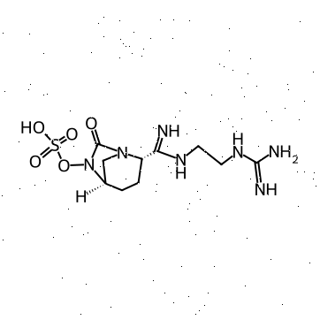 N=C(N)NCCNC(=N)[C@@H]1CC[C@@H]2CN1C(=O)N2OS(=O)(=O)O